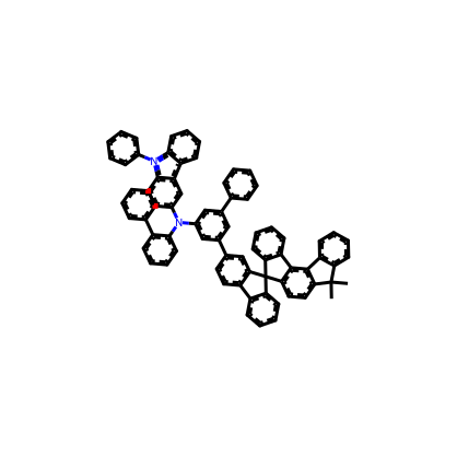 CC1(C)c2ccccc2-c2c1ccc1c2-c2ccccc2C12c1ccccc1-c1ccc(-c3cc(-c4ccccc4)cc(N(c4ccc5c(c4)c4ccccc4n5-c4ccccc4)c4ccccc4-c4ccccc4)c3)cc12